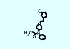 CCC(=O)N(c1ccccc1)C1CCN(CCc2cccc(C)c2)CC1